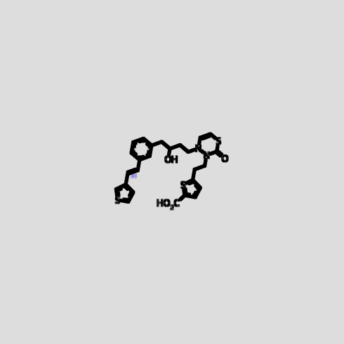 O=C(O)c1ccc(CCN2C(=O)SC=CN2CCC(O)Cc2cccc(/C=C/c3ccsc3)c2)s1